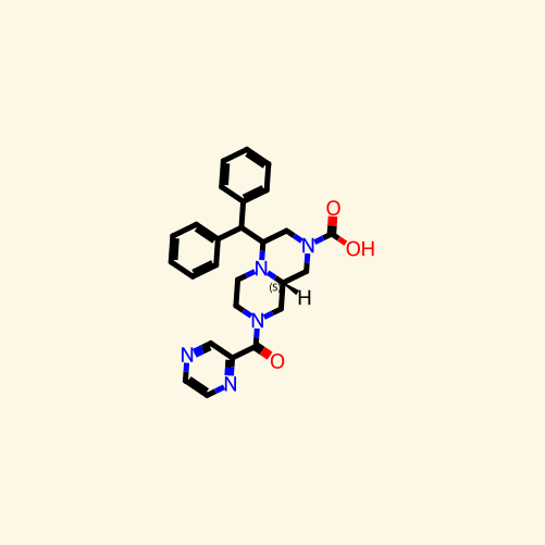 O=C(O)N1CC(C(c2ccccc2)c2ccccc2)N2CCN(C(=O)c3cnccn3)C[C@H]2C1